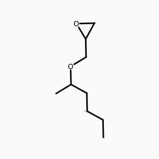 CC[CH]CC(C)OCC1CO1